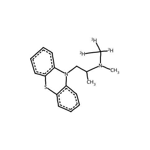 [2H]C([2H])([2H])N(C)C(C)CN1c2ccccc2Sc2ccccc21